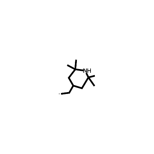 [CH2]CC1CC(C)(C)NC(C)(C)C1